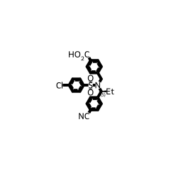 CC[C@@H](c1ccc(C#N)cc1)N(Cc1ccc(C(=O)O)cc1)S(=O)(=O)c1ccc(Cl)cc1